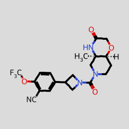 C[C@@]12CN(C(=O)N3CC(c4ccc(OC(F)(F)F)c(C#N)c4)C3)CC[C@@H]1OCC(=O)N2